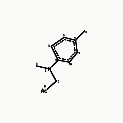 CC(=O)CN(C)c1ccc(C)cc1